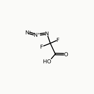 [N-]=[N+]=NC(F)(F)C(=O)O